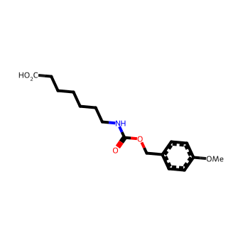 COc1ccc(COC(=O)NCCCCCCC(=O)O)cc1